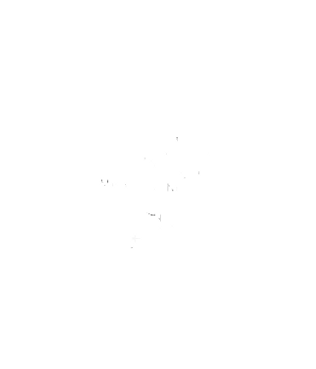 CO[C@H](c1nc2ccccc2s1)[C@@H](N)CO